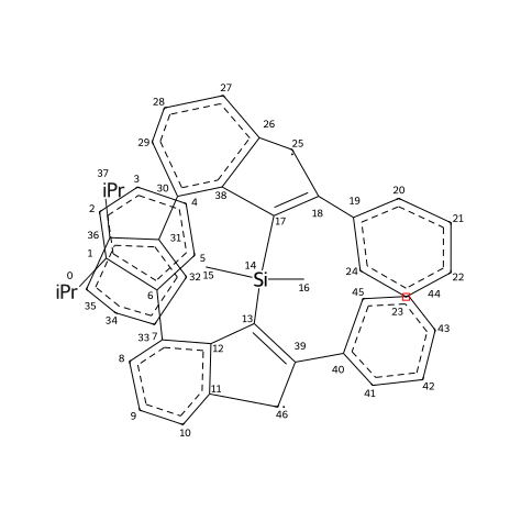 CC(C)c1ccccc1-c1cccc2c1C([Si](C)(C)C1=C(c3ccccc3)[CH]c3cccc(-c4ccccc4C(C)C)c31)=C(c1ccccc1)[CH]2